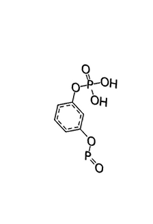 O=POc1cccc(OP(=O)(O)O)c1